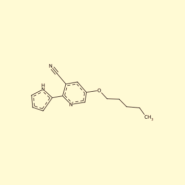 CCCCCOc1cnc(-c2ccc[nH]2)c(C#N)c1